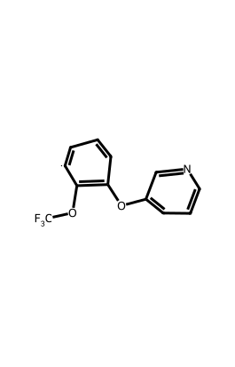 FC(F)(F)Oc1[c]cccc1Oc1cccnc1